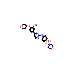 N#Cc1cc(-c2ccnc(Nc3ccc(S(=O)(=O)N4CCOCC4)cc3)n2)ccc1OC1CCOCC1